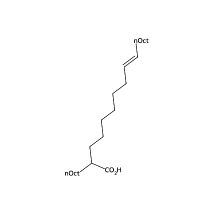 CCCCCCCCC=CCCCCCCC(CCCCCCCC)C(=O)O